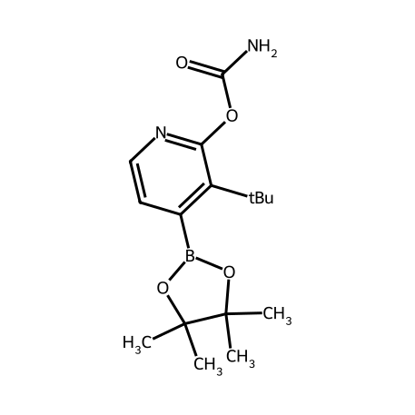 CC(C)(C)c1c(B2OC(C)(C)C(C)(C)O2)ccnc1OC(N)=O